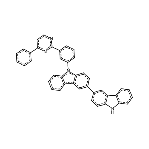 B1c2ccccc2-c2cc(-c3ccc4c(c3)c3ccccc3n4-c3cccc(-c4nccc(-c5ccccc5)n4)c3)ccc21